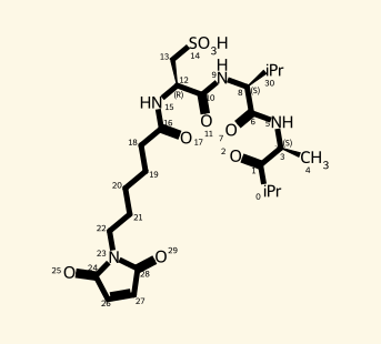 CC(C)C(=O)[C@H](C)NC(=O)[C@@H](NC(=O)[C@H](CS(=O)(=O)O)NC(=O)CCCCCN1C(=O)C=CC1=O)C(C)C